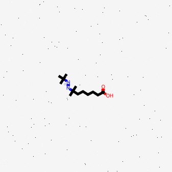 CC(C)(C)/N=N/C(C)(C)CCCCCC(=O)O